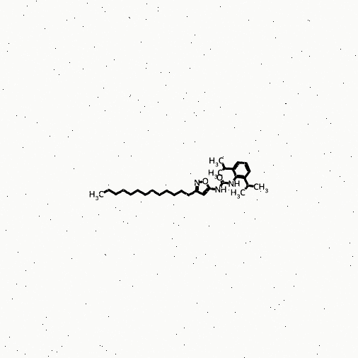 CCCCCCCCCCCCCc1cc(NC(=O)Nc2c(C(C)C)cccc2C(C)C)on1